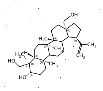 C=C(C)[C@@H]1CC[C@]2(CO)CC[C@]3(C)C(CCC4[C@@]5(C)CC[C@H](O)[C@@](C)(CO)[C@@H]5CC[C@]43C)C12